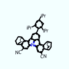 CC(C)c1cc(C(C)C)c(-c2cc3c4c5c(c(C#N)cc4n4c6cc(C#N)c7c(c6c(c2)c34)C2CCC7CC2)C2CCC5CC2)c(C(C)C)c1